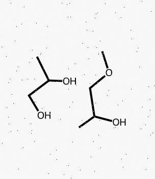 CC(O)CO.COCC(C)O